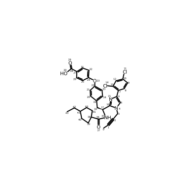 CC#CCn1cc(-c2ccc(Cl)cc2Cl)nc1[C@H](Cc1ccc(Oc2ccc(C(=O)O)cc2)cc1)NC(=O)C1CCC(CC)CC1